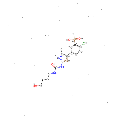 Cc1nc(NC(=O)NCCCCO)sc1-c1ccc(Cl)c(S(C)(=O)=O)c1